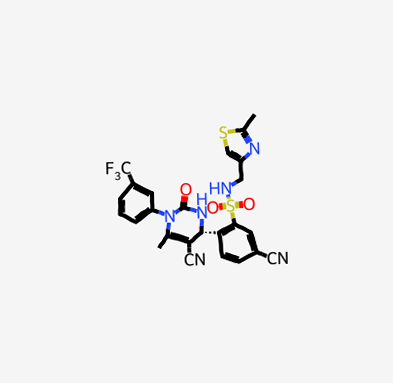 CC1=C(C#N)[C@@H](c2ccc(C#N)cc2S(=O)(=O)NCc2csc(C)n2)NC(=O)N1c1cccc(C(F)(F)F)c1